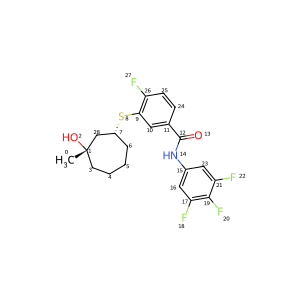 C[C@]1(O)CCCC[C@@H](Sc2cc(C(=O)Nc3cc(F)c(F)c(F)c3)ccc2F)C1